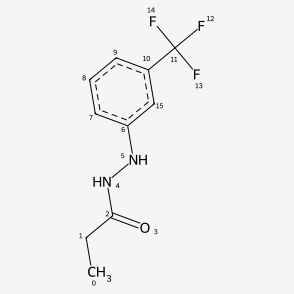 CCC(=O)NNc1cccc(C(F)(F)F)c1